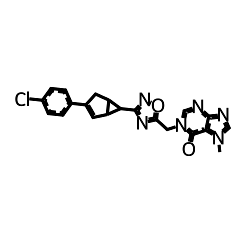 Cn1cnc2ncn(Cc3nc(C4C5C=C(c6ccc(Cl)cc6)CC54)no3)c(=O)c21